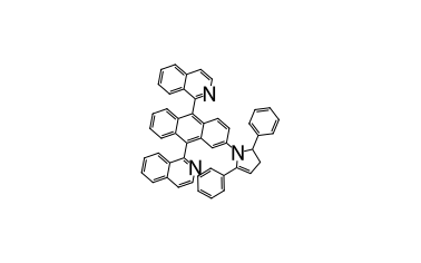 C1=C(c2ccccc2)N(c2ccc3c(-c4nccc5ccccc45)c4ccccc4c(-c4nccc5ccccc45)c3c2)C(c2ccccc2)C1